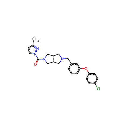 Cc1ccn(C(=O)N2CC3CN(Cc4cccc(Oc5ccc(Cl)cc5)c4)CC3C2)n1